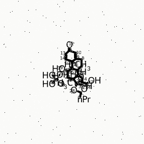 CCCC1O[C@@H]2C[C@H]3[C@@H]4CCC5=CC(=O)C=C[C@]5(C)[C@H]4[C@@H](O)C[C@]3(C)[C@]2(C(=O)CO)O1.O=P(O)(O)O